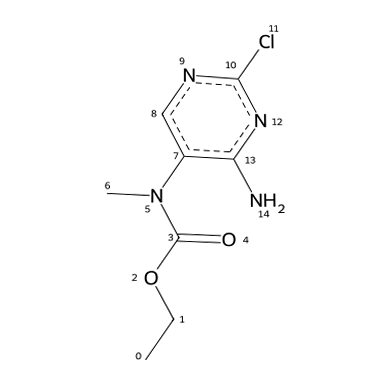 CCOC(=O)N(C)c1cnc(Cl)nc1N